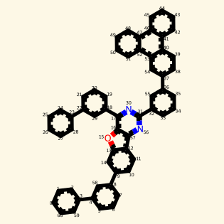 c1ccc(-c2cccc(-c3ccc4c(c3)oc3c(-c5cccc(-c6ccccc6)c5)nc(-c5cccc(-c6ccc7c8ccccc8c8ccccc8c7c6)c5)nc34)c2)cc1